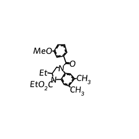 CCOC(=O)N1c2cc(C)c(C)cc2N(C(=O)c2cccc(OC)c2)CC1CC